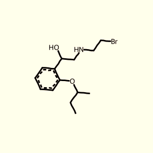 CCC(C)Oc1ccccc1C(O)CNCCBr